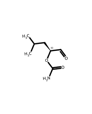 CC(C)C[C@@H](C=O)OC(N)=O